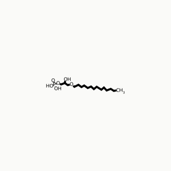 CCCCCCCCCCCCCCOCC(O)COP(=O)(O)O